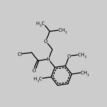 COc1c(C)ccc(C)c1N(COC(C)C)C(=O)CCl